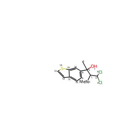 CNC(C(Cl)Cl)C(C)(O)c1ccc2ccsc2c1